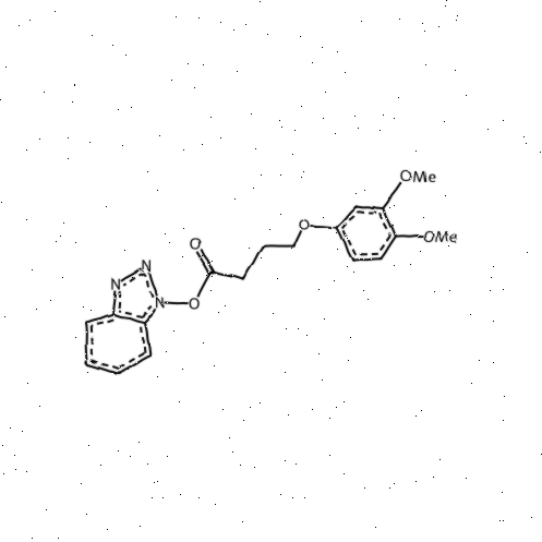 COc1ccc(OCCCC(=O)On2nnc3ccccc32)cc1OC